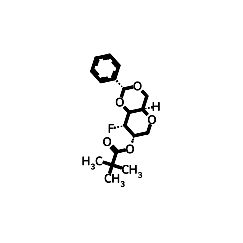 CC(C)(C)C(=O)O[C@H]1CO[C@@H]2CO[C@@H](c3ccccc3)OC2[C@H]1F